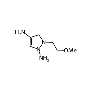 COCCN1CC(N)=CN1N